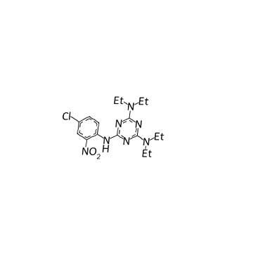 CCN(CC)c1nc(Nc2ccc(Cl)cc2[N+](=O)[O-])nc(N(CC)CC)n1